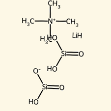 C[N+](C)(C)C.O=[Si](O)O.O=[Si]([O-])O.[LiH]